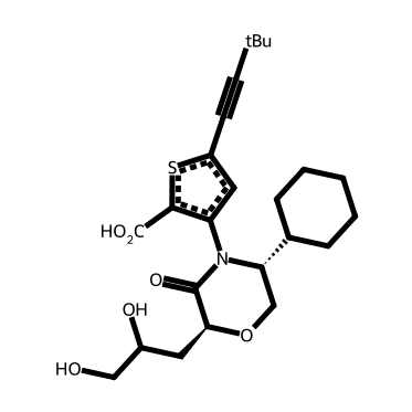 CC(C)(C)C#Cc1cc(N2C(=O)[C@H](CC(O)CO)OC[C@H]2C2CCCCC2)c(C(=O)O)s1